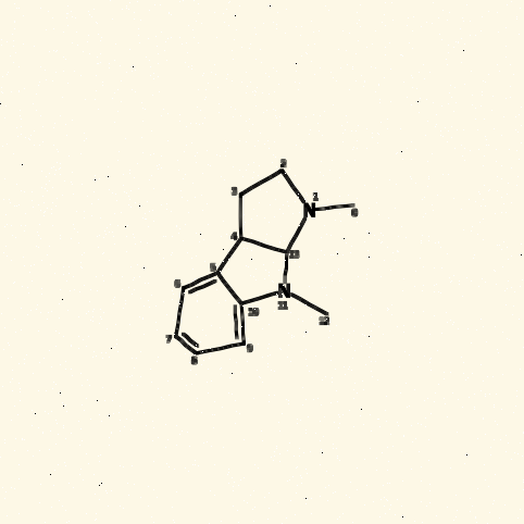 CN1CCC2c3ccccc3N(C)C21